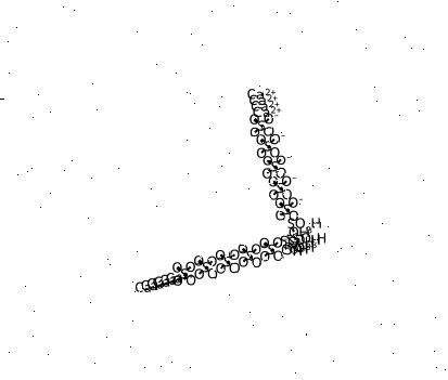 O=S(=O)(O)O.O=S(=O)(O)O.O=S(=O)(O)O.O=S(=O)(O)O.O=S(=O)([O-])[O-].O=S(=O)([O-])[O-].O=S(=O)([O-])[O-].O=S(=O)([O-])[O-].O=S(=O)([O-])[O-].O=S(=O)([O-])[O-].O=S(=O)([O-])[O-].O=S(=O)([O-])[O-].O=S(=O)([O-])[O-].O=S(=O)([O-])[O-].[Ca+2].[Ca+2].[Ca+2].[Ca+2].[Ca+2].[Ca+2].[Ca+2].[Ca+2].[Ca+2].[Ca+2]